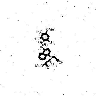 C#CCN(c1ccc(NS(=O)(=O)c2c(C)cc(OC)c(C)c2C)c2ccccc12)[C@@H](C)CC(=O)OC